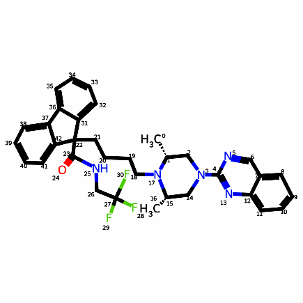 C[C@@H]1CN(c2ncc3ccccc3n2)C[C@H](C)N1CCCCC1(C(=O)NCC(F)(F)F)c2ccccc2-c2ccccc21